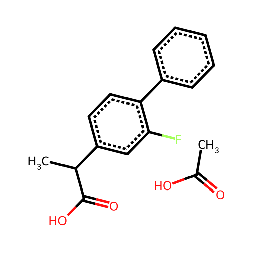 CC(=O)O.CC(C(=O)O)c1ccc(-c2ccccc2)c(F)c1